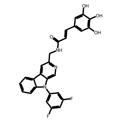 O=C(/C=C/c1cc(O)c(O)c(O)c1)NCc1cc2c3ccccc3n(-c3cc(F)cc(F)c3)c2cn1